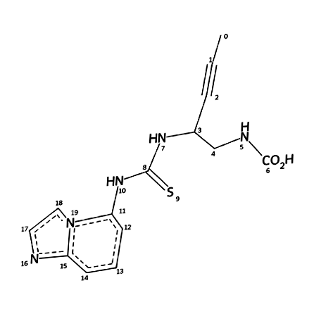 CC#CC(CNC(=O)O)NC(=S)Nc1cccc2nccn12